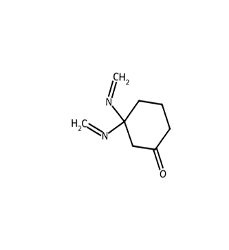 C=NC1(N=C)CCCC(=O)C1